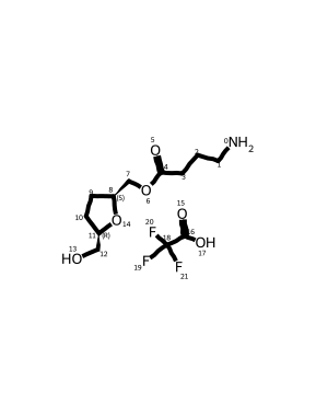 NCCCC(=O)OC[C@@H]1CC[C@H](CO)O1.O=C(O)C(F)(F)F